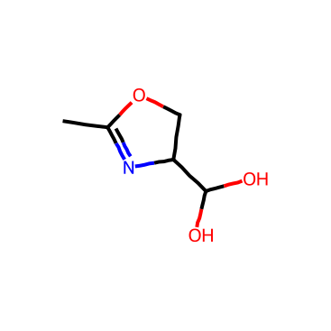 CC1=NC(C(O)O)CO1